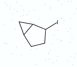 IC1CCC2CC12